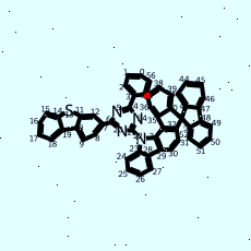 c1ccc(-c2nc(-c3ccc4c(c3)sc3ccccc34)nc(-n3c4ccccc4c4ccc5c(c43)-c3ccccc3C53c4ccccc4-c4ccccc43)n2)cc1